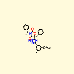 COc1cc(C)cc(-c2n[nH]c(C3(Cc4ccccc4)OC(=O)N([C@H](C)c4ccc(F)cc4)C3=O)n2)c1